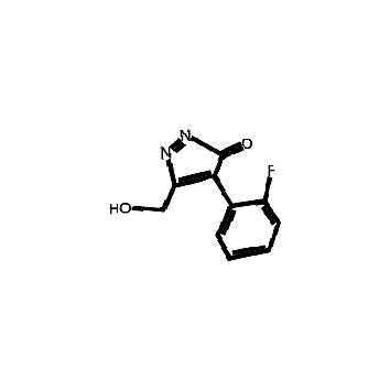 O=C1N=NC(CO)=C1c1ccccc1F